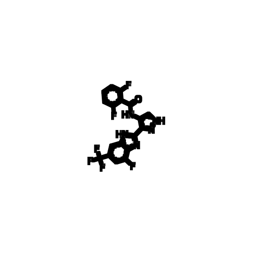 O=C(Nc1c[nH]nc1-c1nc2c(F)cc(C(F)(F)F)cc2[nH]1)c1c(F)cccc1F